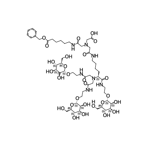 O=C(O)CN(CC(=O)NCCCCCC(=O)OCc1ccccc1)CC(=O)NCCCC[C@@H](C(=O)NCCO[C@H]1O[C@H](CO)[C@@H](O)[C@H](O)[C@@H]1O)N(CC(=O)NCCO[C@H]1O[C@H](CO)[C@@H](O)[C@H](O)[C@@H]1O)CC(=O)NCCO[C@H]1O[C@H](CO)[C@@H](O)[C@H](O)[C@@H]1O